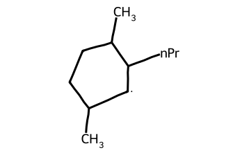 CCCC1[CH]C(C)CCC1C